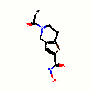 CC(C)(C)C(=O)N1CCc2sc(C(=O)NO)cc2C1